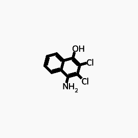 Nc1c(Cl)c(Cl)c(O)c2ccccc12